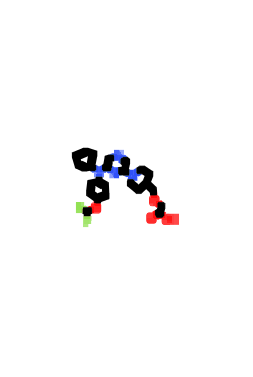 O=C(O)COCC1CCN(c2cncc(N(c3ccccc3)c3ccc(OC(F)F)cc3)n2)CC1